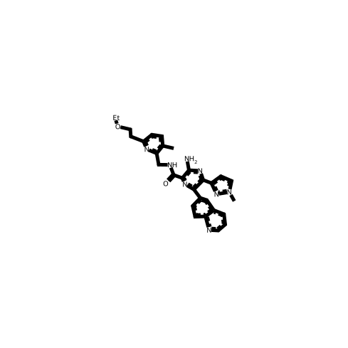 CCOCCc1ccc(C)c(CNC(=O)c2nc(-c3ccc4ncccc4c3)c(-c3ccn(C)n3)nc2N)n1